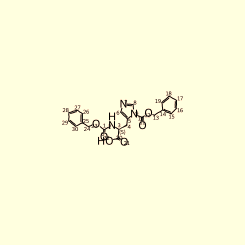 O=C(N[C@@H](Cc1cncn1C(=O)OCc1ccccc1)C(=O)O)OCc1ccccc1